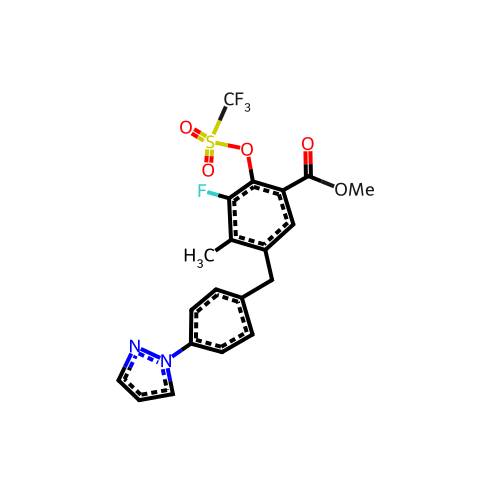 COC(=O)c1cc(Cc2ccc(-n3cccn3)cc2)c(C)c(F)c1OS(=O)(=O)C(F)(F)F